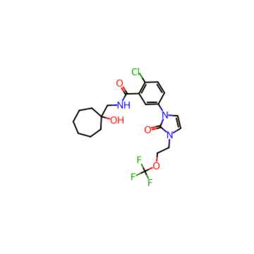 O=C(NCC1(O)CCCCCC1)c1cc(-n2ccn(CCOC(F)(F)F)c2=O)ccc1Cl